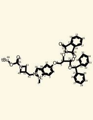 C[n+]1c2ccc(OCC(ON3C(=O)c4ccccc4C3=O)C(=O)OC(c3ccccc3)c3ccccc3)cc2cn1CC1CN(C(=O)OC(C)(C)C)C1